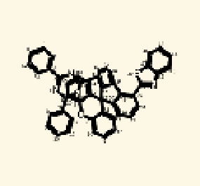 c1ccc(-c2nc(-c3ccccc3)nc(-c3cccc4c3C3(c5ccccc5Oc5ccccc53)c3cccc(-c5nc6ccccc6s5)c3-4)n2)cc1